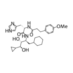 COc1ccc(CCC(=O)N[C@@H](Cc2c[nH]cn2)C(=O)N[C@@H](CC2CCCCC2)[C@@H](O)[C@@H](O)C2CC2)cc1